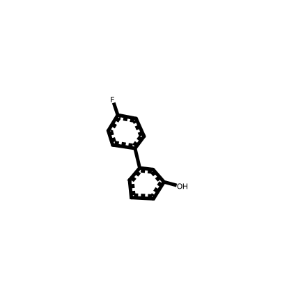 Oc1cc[c]c(-c2ccc(F)cc2)c1